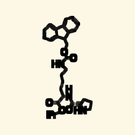 CC(C)OC(=O)C(CCCCNC(=O)OCC1c2ccccc2-c2ccccc21)NC(=O)[C@@H]1CCCN1